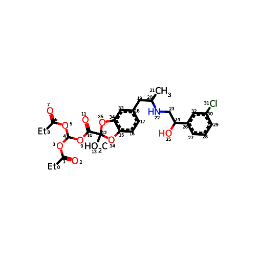 CCC(=O)OC(OC(=O)CC)OC(=O)C1(C(=O)O)Oc2ccc(CC(C)NCC(O)c3cccc(Cl)c3)cc2O1